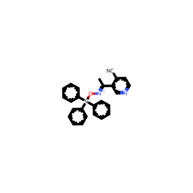 C/C(=N\O[Si](c1ccccc1)(c1ccccc1)c1ccccc1)c1cnccc1C#N